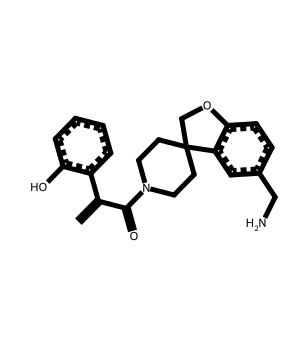 C=C(C(=O)N1CCC2(CC1)COc1ccc(CN)cc12)c1ccccc1O